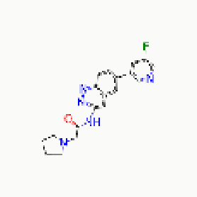 O=C(CN1CCCC1)Nc1cc2cc(-c3cncc(F)c3)ccc2nn1